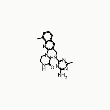 Cc1nc(N)nc(NCc2cc3cccc(C)c3nc2N2CCNC(=O)C2)n1